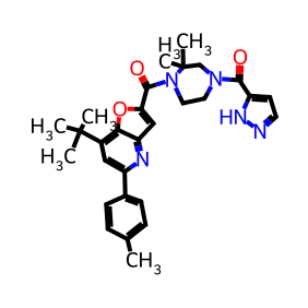 Cc1ccc(-c2cc(C(C)(C)C)c3oc(C(=O)N4CCN(C(=O)c5ccn[nH]5)CC4(C)C)cc3n2)cc1